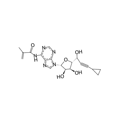 C=C(C)C(=O)Nc1ncnc2c1ncn2[C@@H]1O[C@H](C(O)C#CC2CC2)[C@@H](O)[C@H]1O